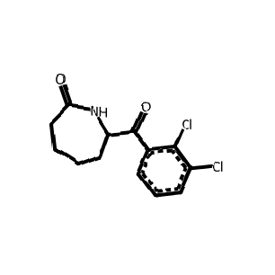 O=C1CCCCC(C(=O)c2cccc(Cl)c2Cl)N1